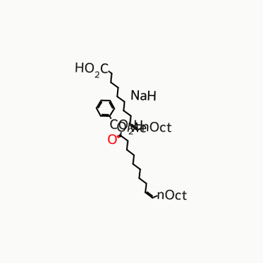 CCCCCCCC/C=C\CCCCCCCC(=O)O.CCCCCCCC/C=C\CCCCCCCC(=O)OC.O=C(O)c1ccccc1.[NaH]